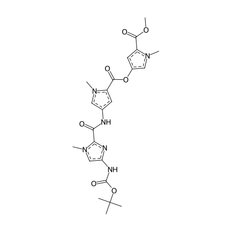 COC(=O)c1cc(OC(=O)c2cc(NC(=O)c3nc(NC(=O)OC(C)(C)C)cn3C)cn2C)cn1C